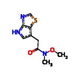 CON(C)C(=O)Cc1c[nH]c2ncsc12